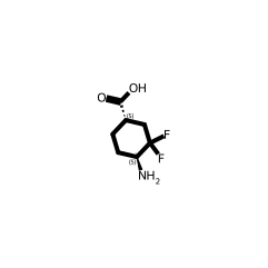 N[C@H]1CC[C@H](C(=O)O)CC1(F)F